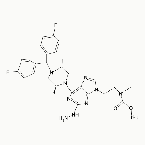 C[C@@H]1CN(c2nc(NN)nc3c2ncn3CCN(C)C(=O)OC(C)(C)C)[C@@H](C)CN1C(c1ccc(F)cc1)c1ccc(F)cc1